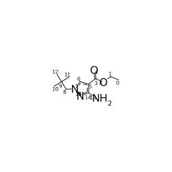 CCOC(=O)c1cn(CC(C)(C)C)nc1N